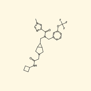 Cn1cnc(C(=O)N(Cc2cccc(OC(F)(F)F)c2)CC2C3CN(CC(=O)NC4CCC4)CC32)c1